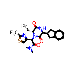 CC(C)C[C@@H]1C(=O)NC(C2Cc3ccccc3C2)C(=O)N1[C@@H](C(=O)N(C)C)c1csc(C(F)(F)F)n1